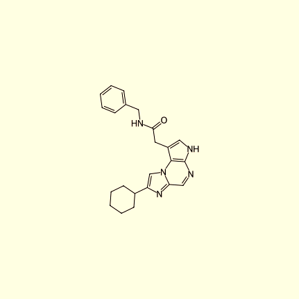 O=C(Cc1c[nH]c2ncc3nc(C4CCCCC4)cn3c12)NCc1ccccc1